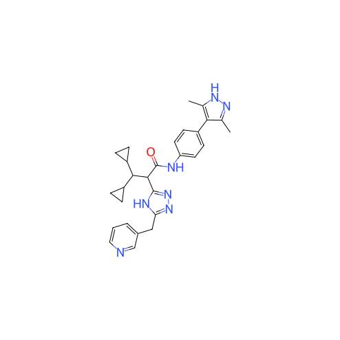 Cc1n[nH]c(C)c1-c1ccc(NC(=O)C(c2nnc(Cc3cccnc3)[nH]2)C(C2CC2)C2CC2)cc1